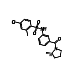 Cc1cc(Cl)ccc1S(=O)(=O)Nc1cccc(C(=O)N2CCC[C@H]2C)c1